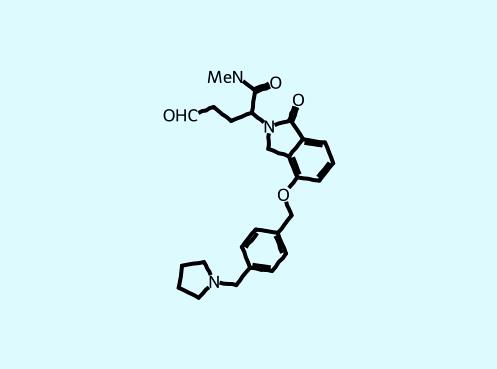 CNC(=O)C(CCC=O)N1Cc2c(OCc3ccc(CN4CCCC4)cc3)cccc2C1=O